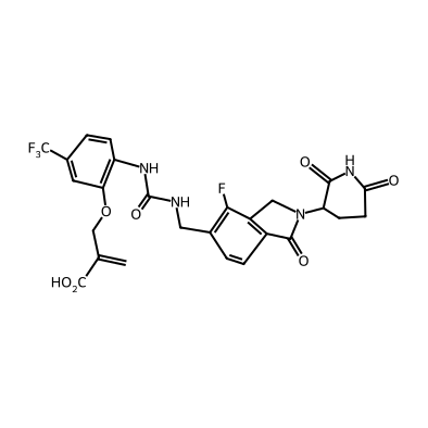 C=C(COc1cc(C(F)(F)F)ccc1NC(=O)NCc1ccc2c(c1F)CN(C1CCC(=O)NC1=O)C2=O)C(=O)O